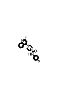 O=C(Nc1ccc(F)cc1)N1CCN(c2cc(F)nc3ccccc23)CC1